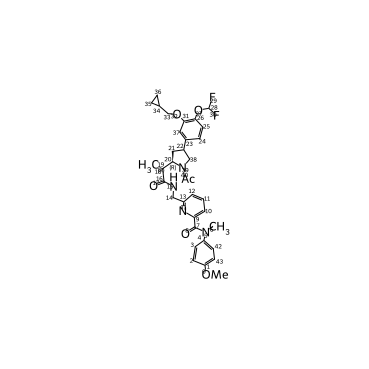 COc1ccc(N(C)C(=O)c2cccc(CNC(=O)[C@H](C)[C@H]3CC(c4ccc(OC(F)F)c(OCC5CC5)c4)CN3C(C)=O)n2)cc1